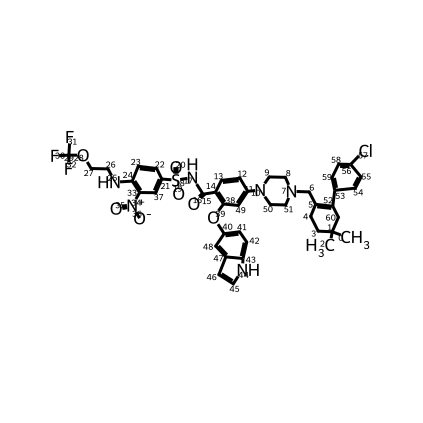 CC1(C)CCC(CN2CCN(c3ccc(C(=O)NS(=O)(=O)c4ccc(NCCOC(F)(F)F)c([N+](=O)[O-])c4)c(Oc4ccc5[nH]ccc5c4)c3)CC2)=C(c2ccc(Cl)cc2)C1